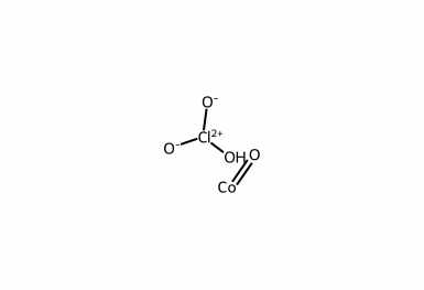 [O-][Cl+2]([O-])O.[O]=[Co]